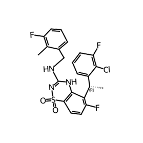 Cc1c(F)cccc1CNC1=NS(=O)(=O)c2ccc(F)c([C@@H](C)c3cccc(F)c3Cl)c2N1